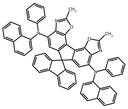 Cc1nc2c(N(c3ccccc3)c3cccc4ccccc34)cc3c(c2o1)-c1c(cc(N(c2ccccc2)c2cccc4ccccc24)c2nc(C)oc12)C31c2ccccc2-c2ccccc21